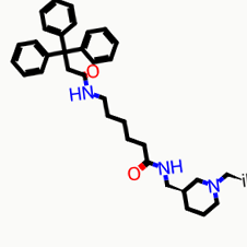 CC[C@H](C)CN1CCC[C@@H](CNC(=O)CCCCCNC(=O)CC(c2ccccc2)(c2ccccc2)c2ccccc2)C1